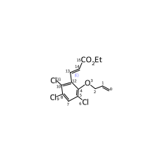 C=CCOc1c(Cl)cc(Cl)c(Cl)c1/C=C/C(=O)OCC